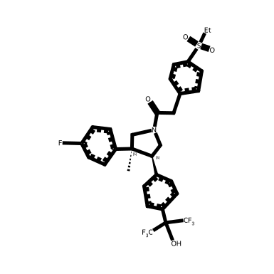 CCS(=O)(=O)c1ccc(CC(=O)N2C[C@@H](c3ccc(C(O)(C(F)(F)F)C(F)(F)F)cc3)[C@@](C)(c3ccc(F)cc3)C2)cc1